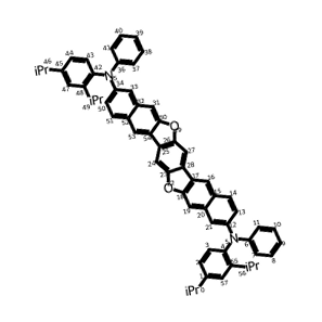 CC(C)c1ccc(N(c2ccccc2)c2ccc3cc4c(cc3c2)oc2cc3c(cc24)oc2cc4cc(N(c5ccccc5)c5ccc(C(C)C)cc5C(C)C)ccc4cc23)c(C(C)C)c1